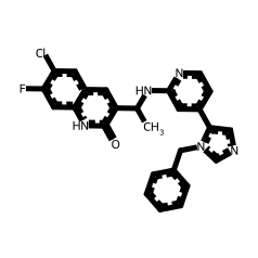 CC(Nc1cc(-c2cncn2Cc2ccccc2)ccn1)c1cc2cc(Cl)c(F)cc2[nH]c1=O